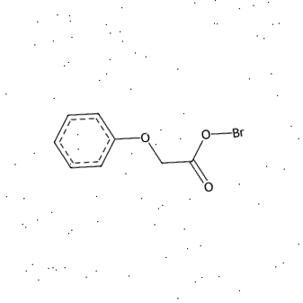 O=C(COc1ccccc1)OBr